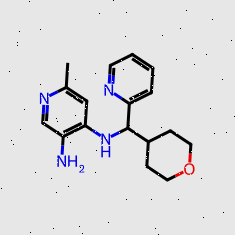 Cc1cc(NC(c2ccccn2)C2CCOCC2)c(N)cn1